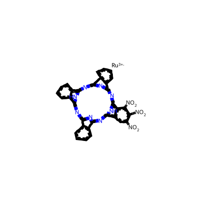 O=[N+]([O-])c1cc2c3nc4nc(nc5[nH]c(nc6nc(nc([nH]3)c2c([N+](=O)[O-])c1[N+](=O)[O-])-c1ccccc1-6)c1ccccc51)-c1ccccc1-4.[Ru+3]